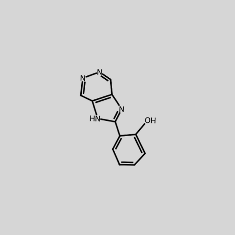 Oc1ccccc1-c1nc2cnncc2[nH]1